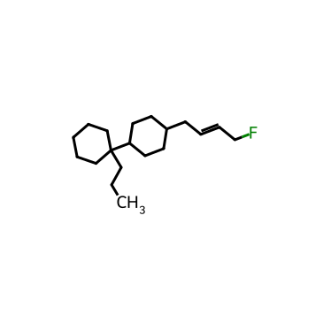 CCCC1(C2CCC(C/C=C/CF)CC2)CCCCC1